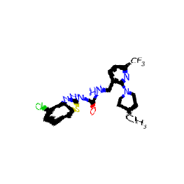 CC1CCN(c2nc(C(F)(F)F)ccc2CNC(=O)Nc2nc3c(Cl)cccc3s2)CC1